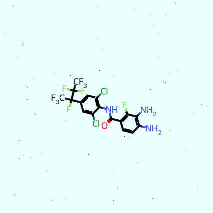 Nc1ccc(C(=O)Nc2c(Cl)cc(C(F)(C(F)(F)F)C(F)(F)C(F)(F)F)cc2Cl)c(F)c1N